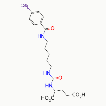 O=C(O)CCC(NC(=O)NCCCCCNC(=O)c1ccc([125I])cc1)C(=O)O